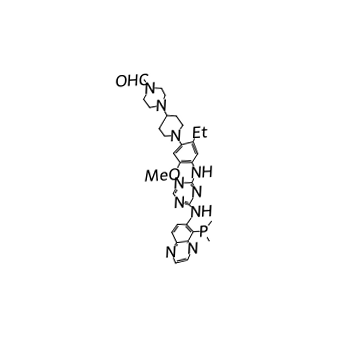 CCc1cc(Nc2ncnc(Nc3ccc4nccnc4c3P(C)C)n2)c(OC)cc1N1CCC(N2CCN(C=O)CC2)CC1